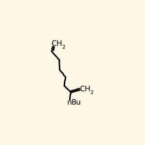 C=CCCCCC(=C)CCCC